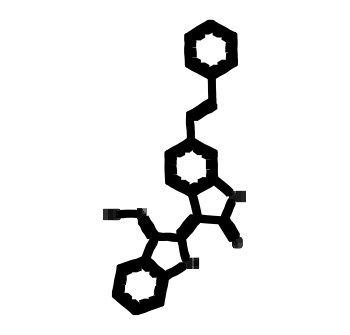 O=C1Nc2cc(/C=C/c3ccccc3)ccc2/C1=C1/Nc2ccccc2/C1=N\O